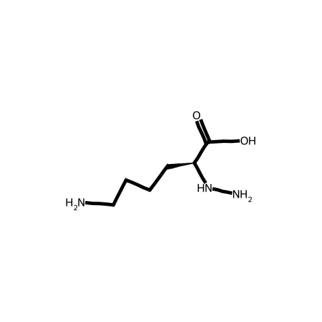 NCCCC[C@H](NN)C(=O)O